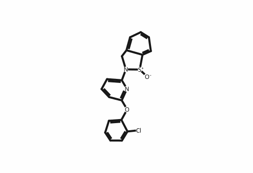 [O-][S+]1c2ccccc2CN1c1cccc(Oc2ccccc2Cl)n1